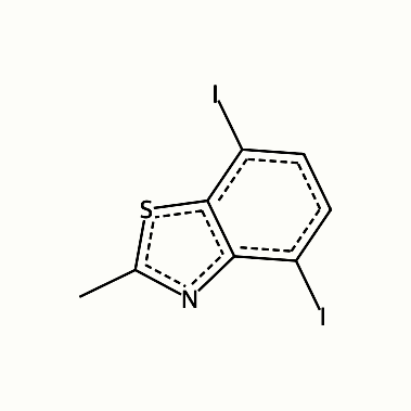 Cc1nc2c(I)ccc(I)c2s1